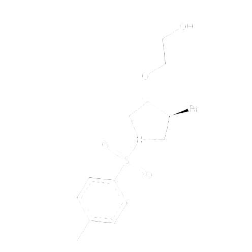 Cc1ccc(S(=O)(=O)N2C[C@H](OCCO)[C@@H](Br)C2)cc1